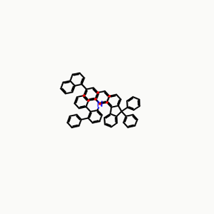 c1ccc(-c2ccccc2-c2c(-c3ccccc3)cccc2N(c2ccc(-c3cccc4ccccc34)cc2)c2cccc3c2-c2ccccc2C3(c2ccccc2)c2ccccc2)cc1